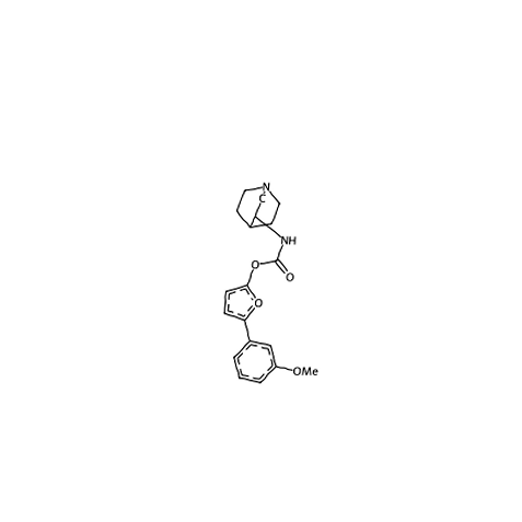 COc1cccc(-c2ccc(OC(=O)NC3CN4CCC3CC4)o2)c1